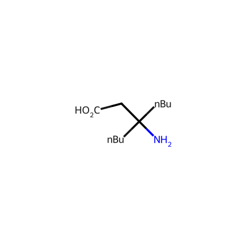 CCCCC(N)(CCCC)CC(=O)O